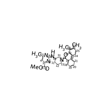 COC(=O)c1cc(C)nc(NC2CCCN(C(=O)c3ccccc3-c3ccc(C)c(C)c3)C2)n1